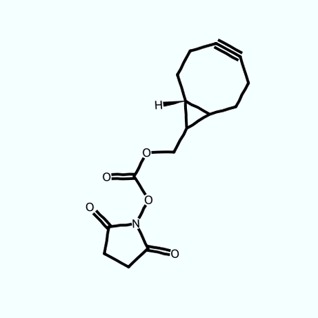 O=C(OCC1C2CCC#CCC[C@H]21)ON1C(=O)CCC1=O